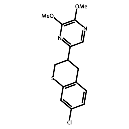 COc1ncc(C2CSc3cc(Cl)ccc3C2)nc1OC